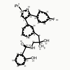 CC(C)n1cc(-c2ccnc(CC(C)(O)CNC(=O)c3ccccc3O)c2)c(-c2ccc(F)cc2)n1